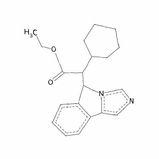 CCOC(=O)C(C1CCCCC1)C1c2ccccc2-c2cncn21